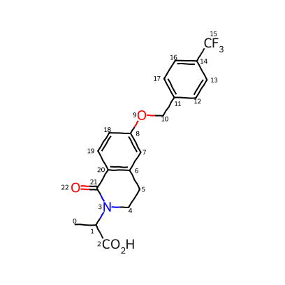 CC(C(=O)O)N1CCc2cc(OCc3ccc(C(F)(F)F)cc3)ccc2C1=O